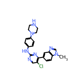 Cn1cnc2cc(-c3nc(Nc4ccc(N5CCNCC5)cc4)ncc3Cl)ccc21